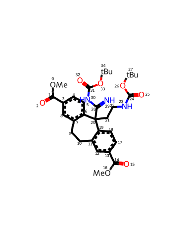 COC(=O)c1ccc2c(c1)CCc1cc(C(=O)OC)ccc1C2(CCNC(=O)OC(C)(C)C)C(=N)NC(=O)OC(C)(C)C